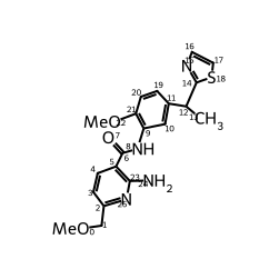 COCc1ccc(C(=O)Nc2cc(C(C)c3nccs3)ccc2OC)c(N)n1